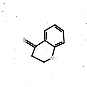 O=C1CCNc2ccccc21